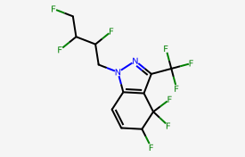 FCC(F)C(F)Cn1nc(C(F)(F)F)c2c1C=CC(F)C2(F)F